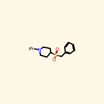 CC(C)N1CCC(S(=O)(=O)Cc2ccccc2)CC1